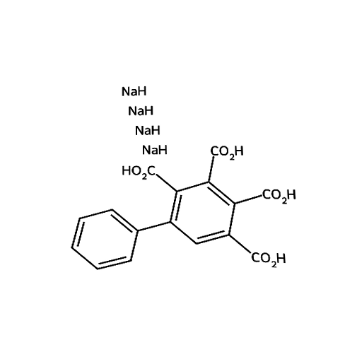 O=C(O)c1cc(-c2ccccc2)c(C(=O)O)c(C(=O)O)c1C(=O)O.[NaH].[NaH].[NaH].[NaH]